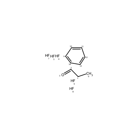 CCC=O.F.F.F.F.F.c1ccccc1